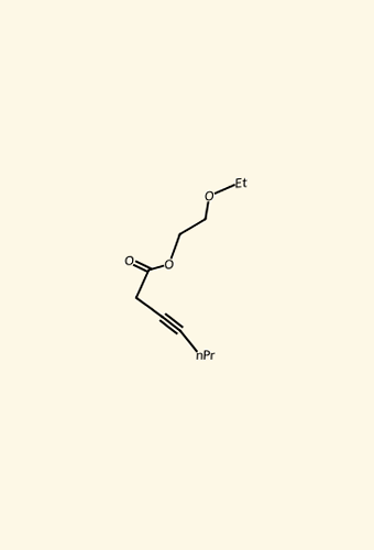 CCCC#CCC(=O)OCCOCC